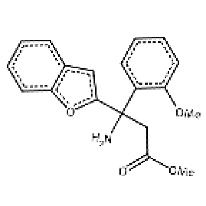 COC(=O)CC(N)(c1cc2ccccc2o1)c1ccccc1OC